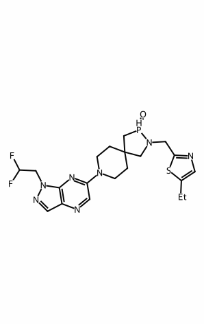 CCc1cnc(CN2CC3(CCN(c4cnc5cnn(CC(F)F)c5n4)CC3)C[PH]2=O)s1